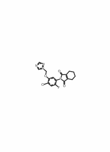 O=C1C2=C(CCCC2)C(=O)N1c1cc(OCn2cncn2)c(Cl)cc1F